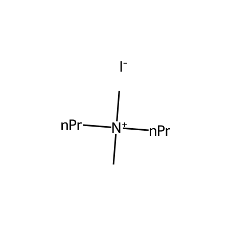 CCC[N+](C)(C)CCC.[I-]